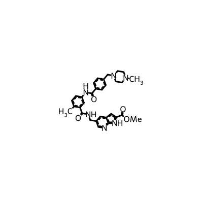 COC(=O)c1cc2cc(CNC(=O)c3cc(NC(=O)c4ccc(CN5CCN(C)CC5)cc4)ccc3C)cnc2[nH]1